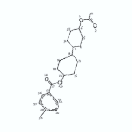 CC(=O)OC1CCC(C2CCC(OC(=O)c3ccc(C)cc3)CC2)CC1